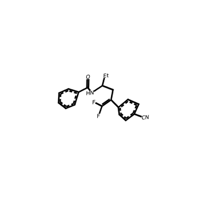 CCC(CC(=C(F)F)c1ccc(C#N)cc1)NC(=O)c1ccccc1